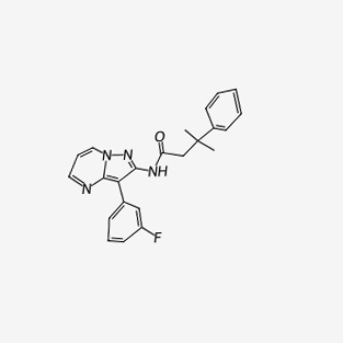 CC(C)(CC(=O)Nc1nn2cccnc2c1-c1cccc(F)c1)c1ccccc1